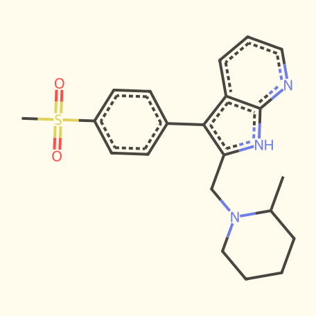 CC1CCCCN1Cc1[nH]c2ncccc2c1-c1ccc(S(C)(=O)=O)cc1